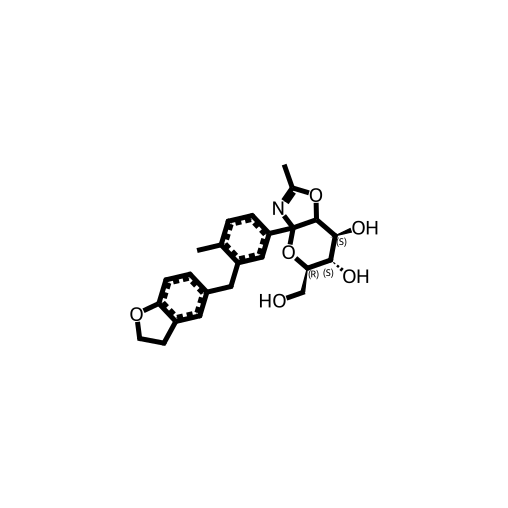 CC1=NC2(c3ccc(C)c(Cc4ccc5c(c4)CCO5)c3)O[C@H](CO)[C@@H](O)[C@H](O)C2O1